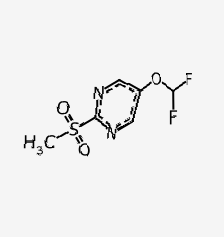 CS(=O)(=O)c1ncc(OC(F)F)cn1